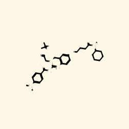 CN(C)c1ccc(C(=O)NC2=Nc3ccc(OCCCC(=O)N(C)C4CCCCC4)cc3CN2CC(=O)OC(C)(C)C(Cl)(Cl)Cl)cc1